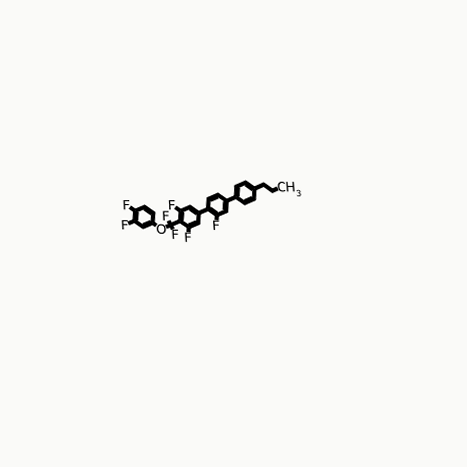 CCCc1ccc(-c2ccc(-c3cc(F)c(C(F)(F)Oc4ccc(F)c(F)c4)c(F)c3)c(F)c2)cc1